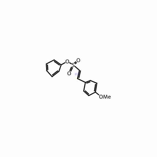 COc1ccc(/C=C/S(=O)(=O)Oc2ccccc2)cc1